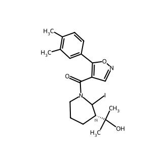 Cc1ccc(-c2oncc2C(=O)N2CCC[C@@H](C(C)(C)O)C2I)cc1C